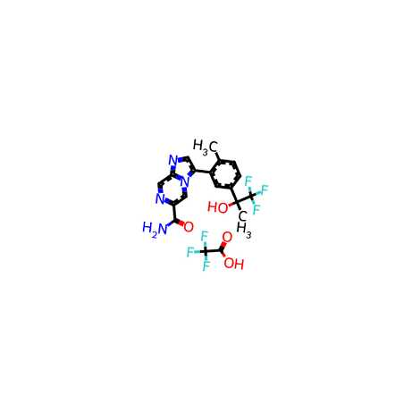 Cc1ccc(C(C)(O)C(F)(F)F)cc1-c1cnc2cnc(C(N)=O)cn12.O=C(O)C(F)(F)F